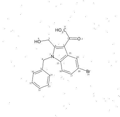 O=C(O)C(=O)c1c(CO)n(Cc2ccccc2)c2ccc(Br)cc12